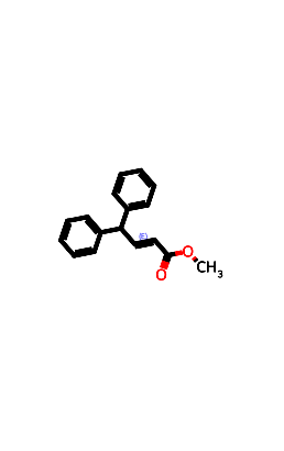 COC(=O)/C=C/C(c1ccccc1)c1ccccc1